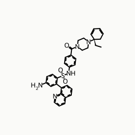 CC[C@@]1(N2CCN(C(=O)c3ccc(NS(=O)(=O)c4ccc(N)cc4-c4cccc5cccnc45)cc3)CC2)C=CC=CC1